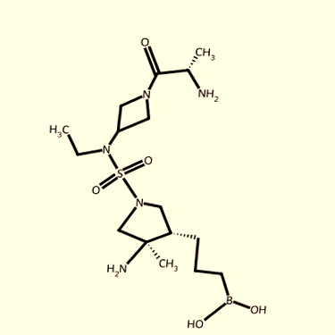 CCN(C1CN(C(=O)[C@H](C)N)C1)S(=O)(=O)N1C[C@H](CCCB(O)O)[C@@](C)(N)C1